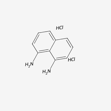 Cl.Cl.Nc1cccc2cccc(N)c12